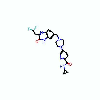 O=C(NC1CC1)c1ccc(N2CCN(Cc3ccc4nc(CC(F)F)c(=O)[nH]c4c3)CC2)cn1